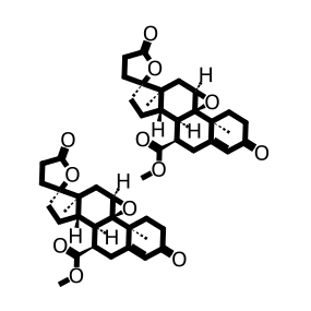 COC(=O)[C@@H]1CC2=CC(=O)CC[C@]2(C)[C@@]23O[C@@H]2C[C@@]2(C)[C@@H](CC[C@@]24CCC(=O)O4)[C@H]13.COC(=O)[C@@H]1CC2=CC(=O)CC[C@]2(C)[C@@]23O[C@@H]2C[C@@]2(C)[C@@H](CC[C@@]24CCC(=O)O4)[C@H]13